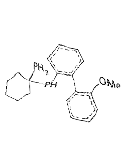 COc1ccccc1-c1ccccc1PC1(P)CCCCC1